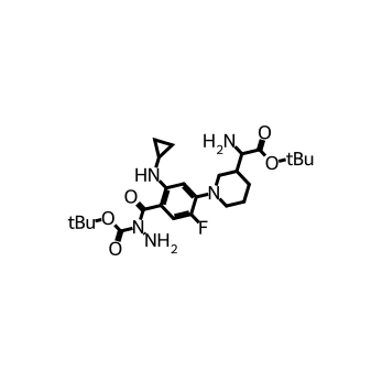 CC(C)(C)OC(=O)C(N)C1CCCN(c2cc(NC3CC3)c(C(=O)N(N)C(=O)OC(C)(C)C)cc2F)C1